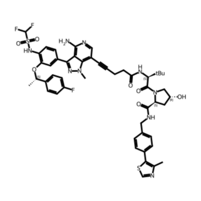 Cc1ncsc1-c1ccc(CNC(=O)[C@@H]2C[C@@H](O)CN2C(=O)[C@@H](NC(=O)CCC#Cc2cnc(N)c3c(-c4ccc(NS(=O)(=O)C(F)F)c(O[C@@H](C)c5ccc(F)cc5)c4)nn(C)c23)C(C)(C)C)cc1